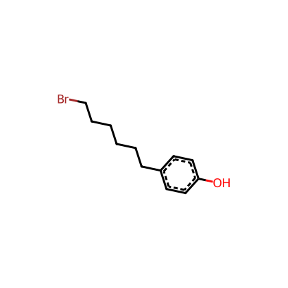 Oc1ccc(CCCCCCBr)cc1